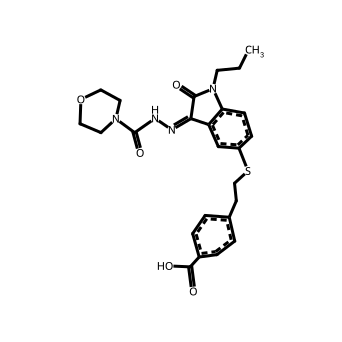 CCCN1C(=O)C(=NNC(=O)N2CCOCC2)c2cc(SCCc3ccc(C(=O)O)cc3)ccc21